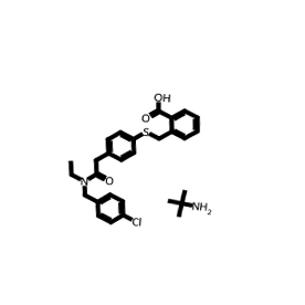 CC(C)(C)N.CCN(Cc1ccc(Cl)cc1)C(=O)Cc1ccc(SCc2ccccc2C(=O)O)cc1